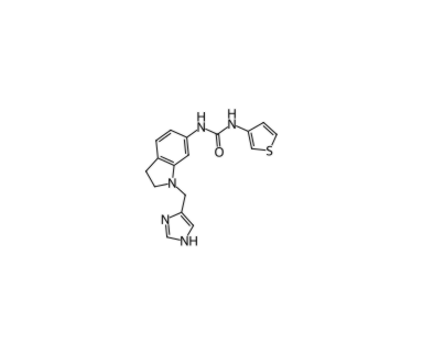 O=C(Nc1ccsc1)Nc1ccc2c(c1)N(Cc1c[nH]cn1)CC2